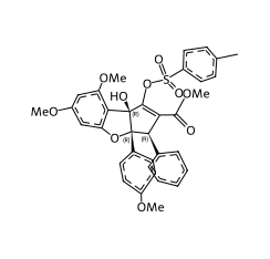 COC(=O)C1=C(OS(=O)(=O)c2ccc(C)cc2)[C@@]2(O)c3c(OC)cc(OC)cc3O[C@@]2(c2ccc(OC)cc2)[C@@H]1c1ccccc1